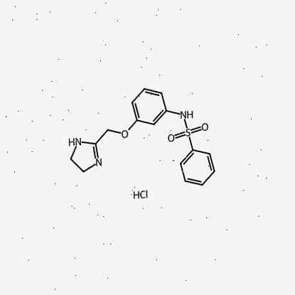 Cl.O=S(=O)(Nc1cccc(OCC2=NCCN2)c1)c1ccccc1